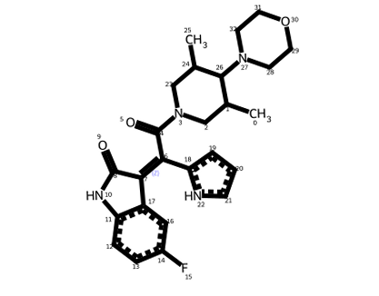 CC1CN(C(=O)/C(=C2\C(=O)Nc3ccc(F)cc32)c2ccc[nH]2)CC(C)C1N1CCOCC1